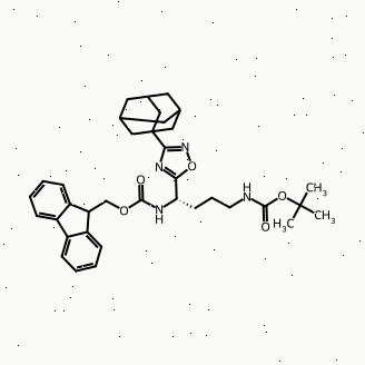 CC(C)(C)OC(=O)NCCC[C@H](NC(=O)OCC1c2ccccc2-c2ccccc21)c1nc(C23CC4CC(CC(C4)C2)C3)no1